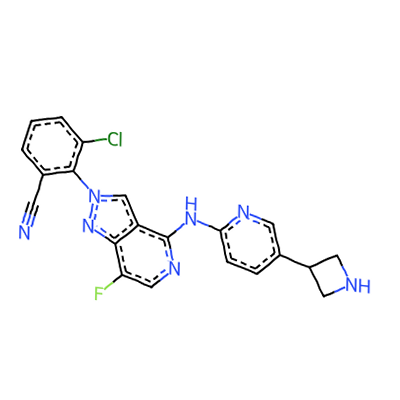 N#Cc1cccc(Cl)c1-n1cc2c(Nc3ccc(C4CNC4)cn3)ncc(F)c2n1